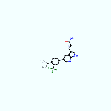 CC(C)c1ccc(-c2cnc3[nH]cc(/C=C/C(N)=O)c3c2)cc1C(F)(F)F